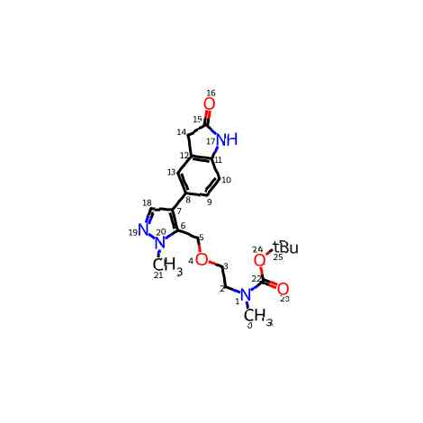 CN(CCOCc1c(-c2ccc3c(c2)CC(=O)N3)cnn1C)C(=O)OC(C)(C)C